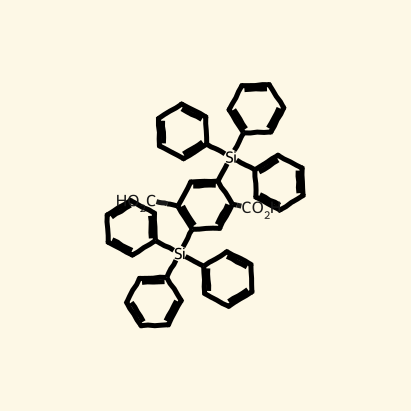 O=C(O)c1cc([Si](c2ccccc2)(c2ccccc2)c2ccccc2)c(C(=O)O)cc1[Si](c1ccccc1)(c1ccccc1)c1ccccc1